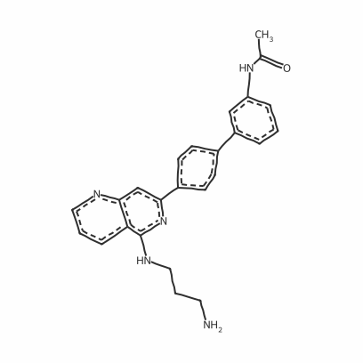 CC(=O)Nc1cccc(-c2ccc(-c3cc4ncccc4c(NCCCN)n3)cc2)c1